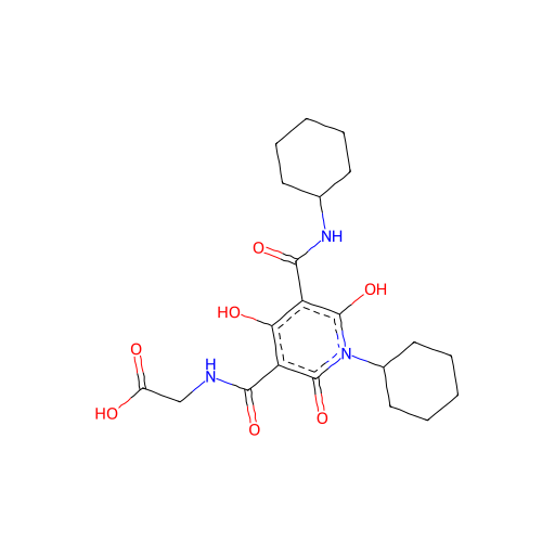 O=C(O)CNC(=O)c1c(O)c(C(=O)NC2CCCCC2)c(O)n(C2CCCCC2)c1=O